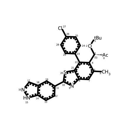 CC(=O)[C@@H](OC(C)(C)C)c1c(C)cc2nc(-c3ccc4[nH]ncc4c3)sc2c1-c1ccc(Cl)cc1